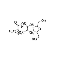 CC(C)C(=O)O.CC(C)C(=O)O.OCC1CCC(CO)O1